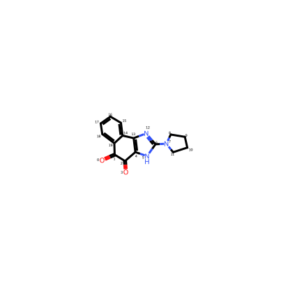 O=C1C(=O)c2[nH]c(N3CCCC3)nc2-c2ccccc21